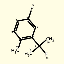 Cc1ccc(F)cc1C(C)(C)F